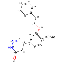 COc1ccc(C2C=NNC(=O)C2)cc1OCCc1ccccc1